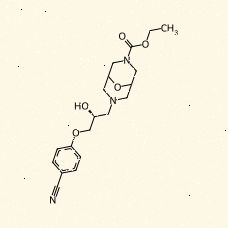 CCOC(=O)N1CC2CN(C[C@H](O)COc3ccc(C#N)cc3)CC(C1)O2